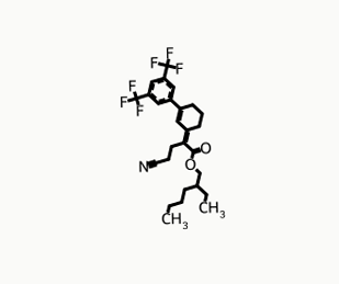 CCCCC(CC)COC(=O)C(CCC#N)=C1C=C(c2cc(C(F)(F)F)cc(C(F)(F)F)c2)CCC1